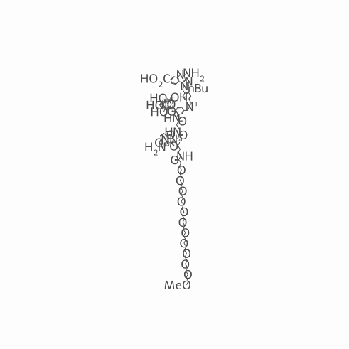 CCCCc1nc2c(N)nc3cc(C(=O)O)ccc3c2n1Cc1ccc(C[N+](C)(C)Cc2ccc(O[C@H]3O[C@H](CO)[C@@H](O)[C@H](O)[C@@H]3O)c(NC(=O)CCNC(=O)[C@H](CCCCNC(=O)CCOCCOCCOCCOCCOCCOCCOCCOCCOCCOCCOCCOC)NC(=O)[C@H](CN)N3C(=O)C=CC3=O)c2)cc1